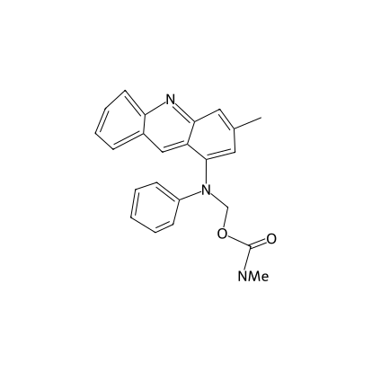 CNC(=O)OCN(c1ccccc1)c1cc(C)cc2nc3ccccc3cc12